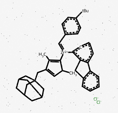 CC1=[C](/[Zr+2](=[CH]/c2ccc(C(C)(C)C)cc2)[c]2cccc3c2Cc2ccccc2-3)C(C)C=C1CC12CC3CC(CC(C3)C1)C2.[Cl-].[Cl-]